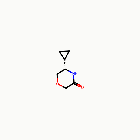 O=C1COC[C@H](C2CC2)N1